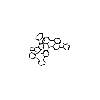 c1ccc(-c2ccccc2N(c2ccc3c(c2)C2(c4ccccc4-c4ccccc4-3)c3ccccc3-c3c2ccc2c3-c3ccccc3C2)c2ccc3c(c2)oc2ccccc23)cc1